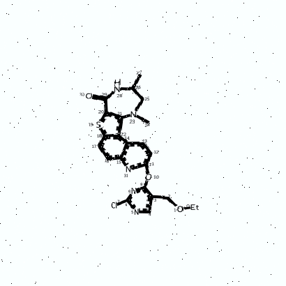 CCOCc1cnc(Cl)nc1Oc1ccc2c(ccc3sc4c(c32)N(C)CC(C)NC4=O)n1